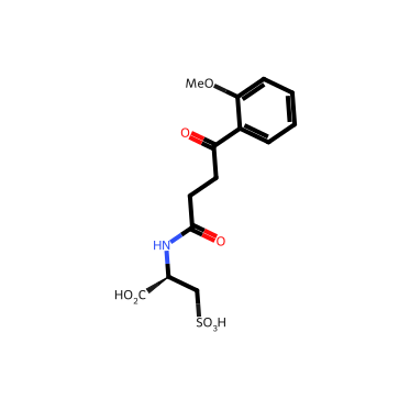 COc1ccccc1C(=O)CCC(=O)N[C@@H](CS(=O)(=O)O)C(=O)O